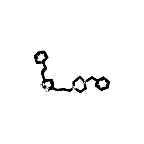 C(=Cc1cc(CCCN2CCN(Cc3ccccc3)CC2)on1)c1ccccc1